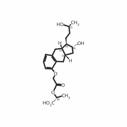 C[C@H](O)CC[C@@H]1[C@H]2Cc3cccc(OCC(=O)O[C@H](C)C(=O)O)c3C[C@H]2C[C@H]1O